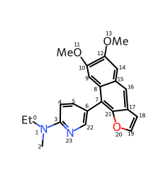 CCN(C)c1ccc(-c2c3cc(OC)c(OC)cc3cc3ccoc23)cn1